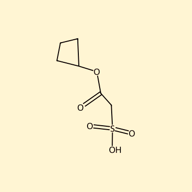 O=C(CS(=O)(=O)O)OC1CCC1